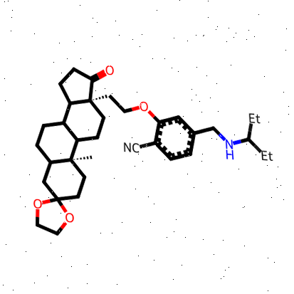 CCC(CC)NCc1ccc(C#N)c(OCC[C@]23CCC4C(CCC5CC6(CC[C@@]54C)OCCO6)C2CCC3=O)c1